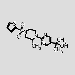 C[C@H]1CN(S(=O)(=O)c2cccs2)CCN1c1ncc(C(C)(C)O)cn1